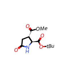 COC(=O)[C@H]1CC(=O)N[C@@H]1C(=O)OC(C)(C)C